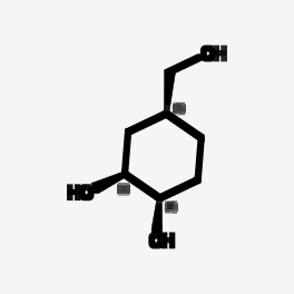 OC[C@H]1CC[C@@H](O)[C@@H](O)C1